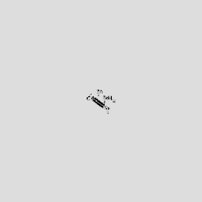 [BeH2].[Se]=[Cd].[Zn]